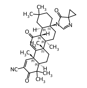 CC1(C)CC[C@]2(N3C=NC4(CC4)C3=O)CC[C@]3(C)[C@H](C(=O)C=C4[C@@]5(C)C=C(C#N)C(=O)C(C)(C)[C@@H]5CC[C@]43C)[C@H]2C1